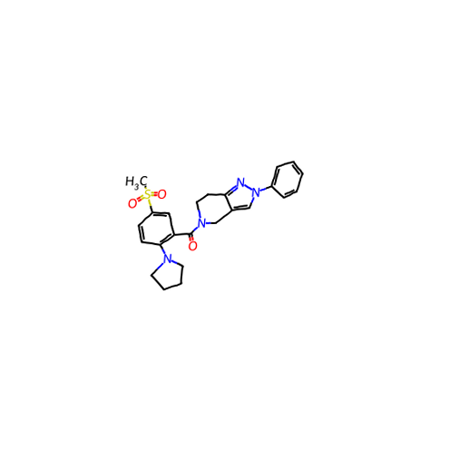 CS(=O)(=O)c1ccc(N2CCCC2)c(C(=O)N2CCc3nn(-c4ccccc4)cc3C2)c1